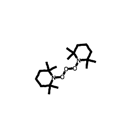 CC1(C)CCCC(C)(C)N1OOON1C(C)(C)CCCC1(C)C